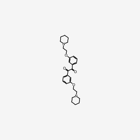 O=C(C(=O)c1cccc(OCCN2CCCCC2)c1)c1cccc(OCCN2CCCCC2)c1